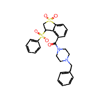 O=C(c1cccc2c1C(S(=O)(=O)c1ccccc1)CS2(=O)=O)N1CCN(Cc2ccccc2)CC1